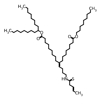 C/C=C/CC(=S)NCCC/C=C(/CCCCCCCCC(=O)OC(CCCCCCCC)CCCCCCCC)CCCCCCCC(=O)OCCCCCCCCC